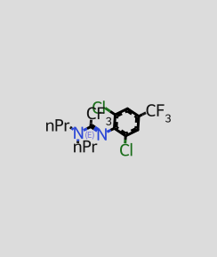 CCCN(CCC)/C(=N/c1c(Cl)cc(C(F)(F)F)cc1Cl)C(F)(F)F